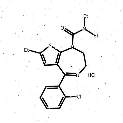 CCc1cc2c(s1)N(C(=O)N(CC)CC)CCN=C2c1ccccc1Cl.Cl